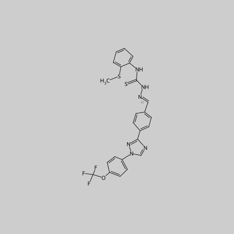 CSc1ccccc1NC(=S)N/N=C/c1ccc(-c2ncn(-c3ccc(OC(F)(F)F)cc3)n2)cc1